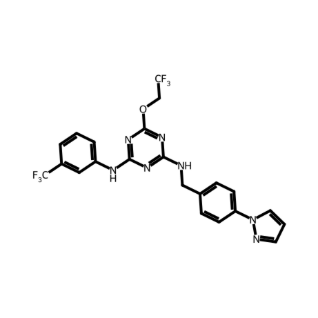 FC(F)(F)COc1nc(NCc2ccc(-n3cccn3)cc2)nc(Nc2cccc(C(F)(F)F)c2)n1